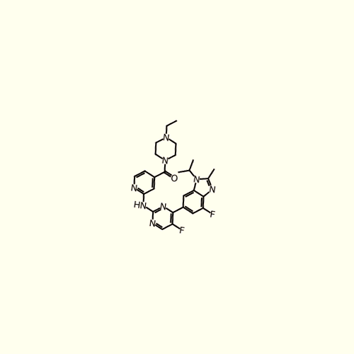 CCN1CCN(C(=O)c2ccnc(Nc3ncc(F)c(-c4cc(F)c5nc(C)n(C(C)C)c5c4)n3)c2)CC1